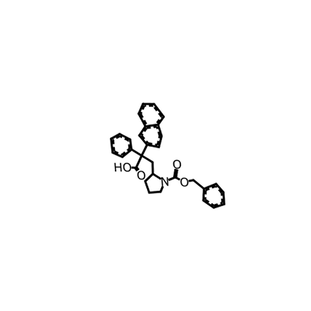 O=C(OCc1ccccc1)N1CCCC1CC(C(=O)O)(c1ccccc1)c1ccc2ccccc2c1